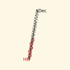 CCCCCCCCCCCCCCCCCCCCCCCCCCCCCCCCOCCOCCOCCOCCOCCO